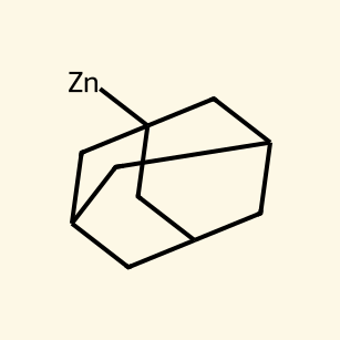 [Zn][C]12CC3CC(CC(C3)C1)C2